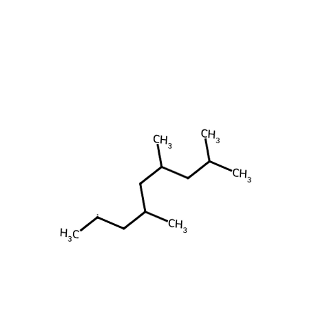 C[CH]CC(C)CC(C)CC(C)C